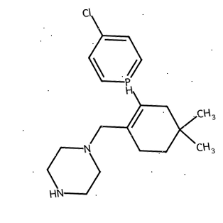 CC1(C)CCC(CN2CCNCC2)=C([PH]2=CC=C(Cl)C=C2)C1